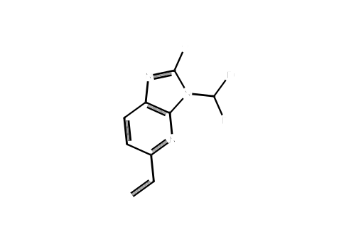 C=Cc1ccc2nc(O)n(C(CC)CC)c2n1